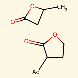 CC(=O)C1CCOC1=O.CC1CC(=O)O1